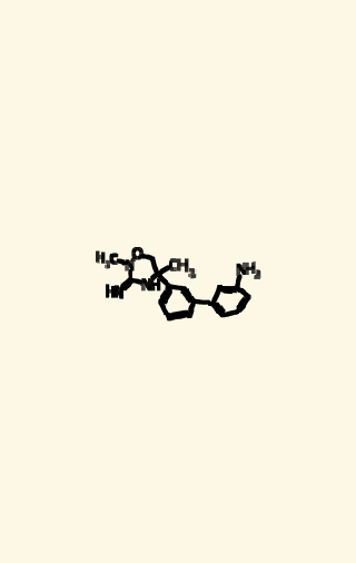 CN1OCC(C)(c2cccc(-c3cccc(N)c3)c2)NC1=N